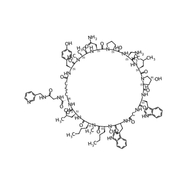 CCCC[C@H]1C(=O)N(C)[C@@H](CCCC)C(=O)N[C@@H](CC(C)C)C(=O)N[C@H](C(=O)NCC(=O)NCc2cccnc2)CSCC(=O)N[C@@H](Cc2ccc(O)cc2)C(=O)N(C)[C@@H](C)C(=O)N[C@@H](CC(N)=O)C(=O)N2CCC[C@H]2C(=O)N[C@@H](CN)C(=O)N[C@@H](CC(C)C)C(=O)N2C[C@H](O)C[C@H]2C(=O)N[C@@H](Cc2c[nH]c3ccccc23)C(=O)NCC(=O)NC(Cc2c[nH]c3ccccc23)C(=O)N1C